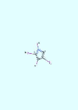 Ic1cn(I)c(I)c1I